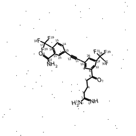 N=C(N)CCCC(=O)c1cc(C#Cc2ccc(C(F)(F)F)c(C(N)=O)c2)cc(C(F)(F)F)c1